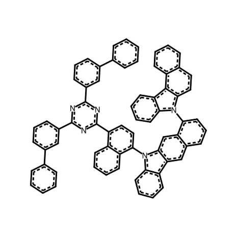 c1ccc(-c2cccc(-c3nc(-c4cccc(-c5ccccc5)c4)nc(-c4ccc(-n5c6ccccc6c6cc7cccc(-n8c9ccccc9c9c%10ccccc%10ccc98)c7cc65)c5ccccc45)n3)c2)cc1